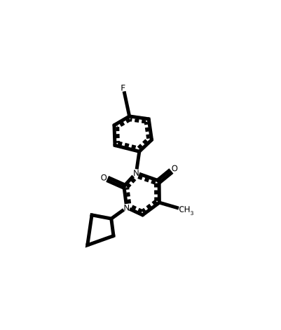 Cc1cn(C2CCC2)c(=O)n(-c2ccc(F)cc2)c1=O